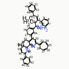 CC(/C=C(/c1ccccc1)[C@@H](C)C(N)C1=CCCC(c2cc(C3=CC=CC=CC3)nc3c2CC[C@@H]2C=CC(c4ccccc4)=NC32)=C1)c1ccccc1